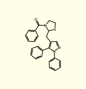 O=C(c1ccccc1)N1CCSC1Cc1cnn(-c2ccccc2)c1-c1ccccc1